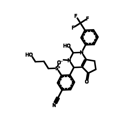 CN1C(c2ccc(C#N)cc2[S+]([O-])CCCO)C2=C(CCC2=O)N(c2cccc(C(F)(F)F)c2)C1O